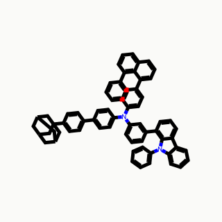 c1ccc(-c2cccc3cccc(-c4ccc(N(c5ccc(-c6ccc(C78CC9CC(CC(C9)C7)C8)cc6)cc5)c5cccc(-c6cccc7c8ccccc8n(-c8ccccc8)c67)c5)cc4)c23)cc1